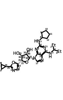 CCC(CC)Nc1nc(NC2CCCC2)nc2c1ncn2[C@@H]1O[C@H](c2nnc(C3CC3)o2)[C@@H](O)[C@H]1O